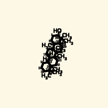 CC1(C)[C@@H](O)CC[C@]2(C)[C@H]3CC=C4[C@H]5CCCC(C)(C)[C@@]5(C)CC[C@@]4(C)[C@]3(C)CC[C@@H]12